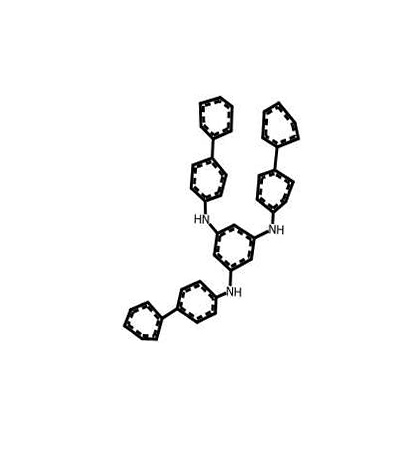 c1ccc(-c2ccc(Nc3cc(Nc4ccc(-c5ccccc5)cc4)cc(Nc4ccc(-c5ccccc5)cc4)c3)cc2)cc1